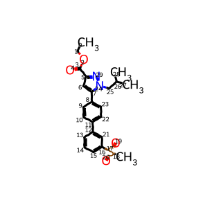 CCOC(=O)c1cc(-c2ccc(-c3cccc(S(C)(=O)=O)c3)cc2)n(CC(C)C)n1